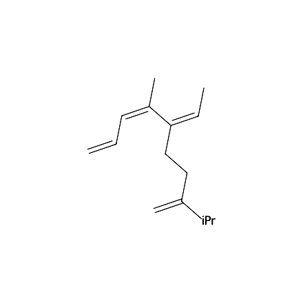 C=C/C=C(C)\C(=C/C)CCC(=C)C(C)C